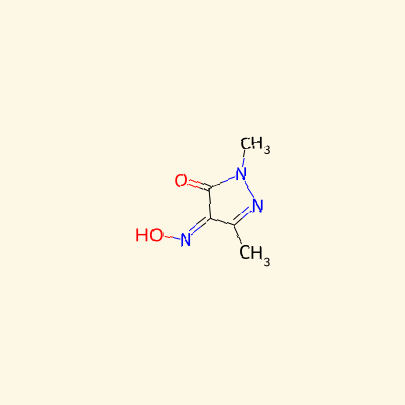 CC1=NN(C)C(=O)C1=NO